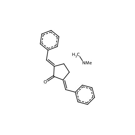 CNC.O=C1C(=Cc2ccccc2)CCC1=Cc1ccccc1